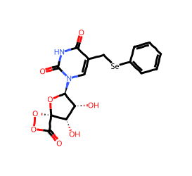 O=C1OO[C@@]12O[C@@H](n1cc(C[Se]c3ccccc3)c(=O)[nH]c1=O)[C@H](O)[C@@H]2O